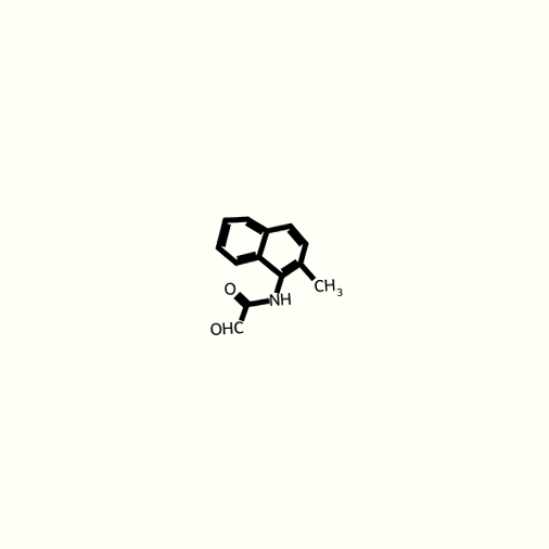 Cc1ccc2ccccc2c1NC(=O)C=O